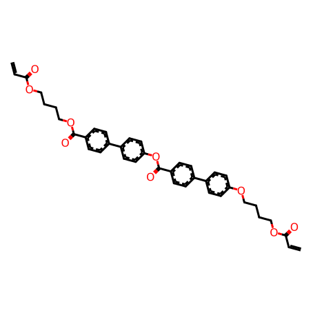 C=CC(=O)OCCCCOC(=O)c1ccc(-c2ccc(OC(=O)c3ccc(-c4ccc(OCCCCOC(=O)C=C)cc4)cc3)cc2)cc1